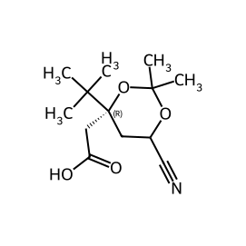 CC1(C)OC(C#N)C[C@@](CC(=O)O)(C(C)(C)C)O1